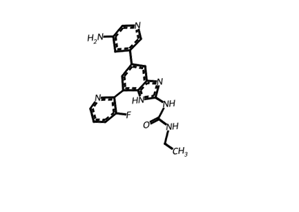 CCNC(=O)Nc1nc2cc(-c3cncc(N)c3)cc(-c3ncccc3F)c2[nH]1